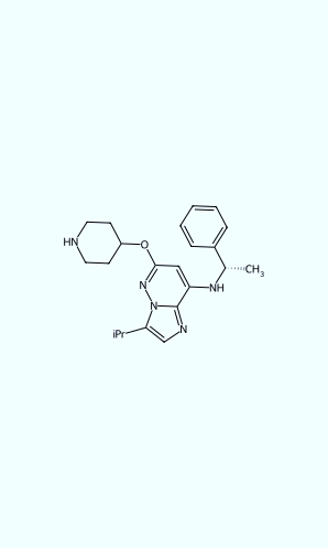 CC(C)c1cnc2c(N[C@@H](C)c3ccccc3)cc(OC3CCNCC3)nn12